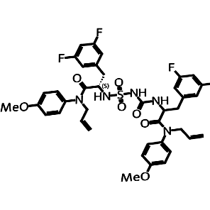 C=CCN(C(=O)C(Cc1cc(F)cc(F)c1)NC(=O)NS(=O)(=O)N[C@@H](Cc1cc(F)cc(F)c1)C(=O)N(CC=C)c1ccc(OC)cc1)c1ccc(OC)cc1